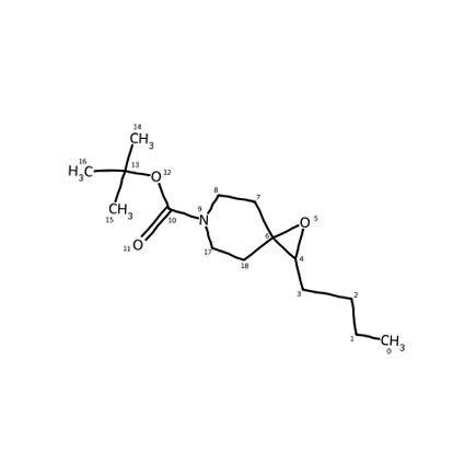 CCCCC1OC12CCN(C(=O)OC(C)(C)C)CC2